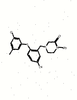 Cc1cc(Cl)cc(Sc2ccc(C#N)cc2CN2CCN(C(C)C)C(=O)C2)c1